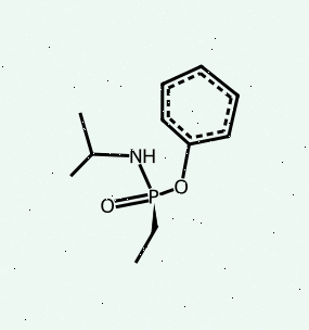 CC[P@@](=O)(NC(C)C)Oc1ccccc1